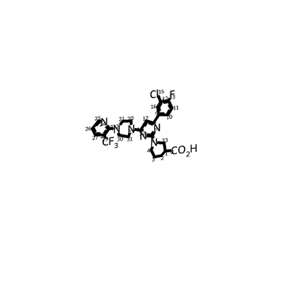 O=C(O)C1CCCN(c2nc(-c3ccc(F)c(Cl)c3)cc(N3CCN(c4ncccc4C(F)(F)F)CC3)n2)C1